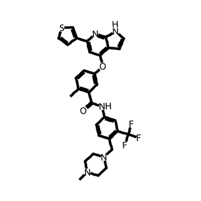 Cc1ccc(Oc2cc(-c3ccsc3)nc3[nH]ccc23)cc1C(=O)Nc1ccc(CN2CCN(C)CC2)c(C(F)(F)F)c1